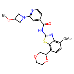 CCOC1CN(c2cc(C(=O)Nc3nc4c(OC)ccc(C5COCCO5)c4s3)ccn2)C1